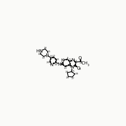 CC(=O)c1nc2cnc(Nc3ccc(N4CCNCC4)cn3)cc2n(C2CCCC2)c1=O